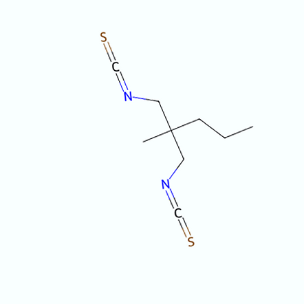 CCCC(C)(CN=C=S)CN=C=S